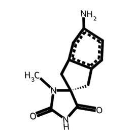 CN1C(=O)NC(=O)[C@@]12Cc1ccc(N)cc1C2